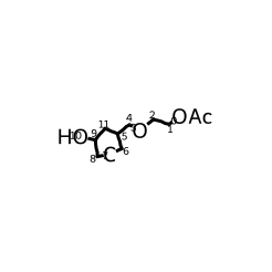 CC(=O)OCCOCC1CCCC(O)C1